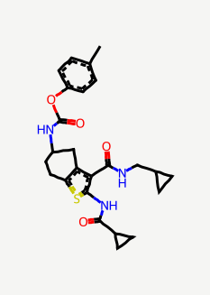 Cc1ccc(OC(=O)NC2CCc3sc(NC(=O)C4CC4)c(C(=O)NCC4CC4)c3C2)cc1